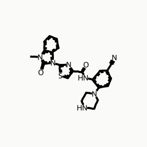 Cn1c(=O)n(-c2nc(C(=O)Nc3cc(C#N)ccc3N3CCNCC3)cs2)c2ccccc21